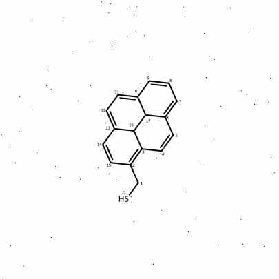 SCC1=C2C=CC3=CC=CC4=CC=C(C=C1)C2C34